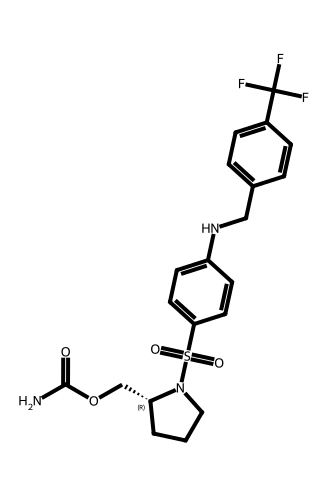 NC(=O)OC[C@H]1CCCN1S(=O)(=O)c1ccc(NCc2ccc(C(F)(F)F)cc2)cc1